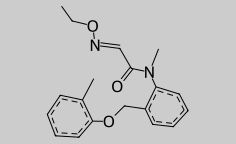 CCON=CC(=O)N(C)c1ccccc1COc1ccccc1C